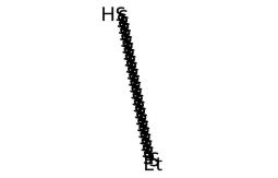 CCC(=S)SSSSSSSSSSSSSSSSSSSSSSSSSSSSSSSSSSSSSSSSSSSSS